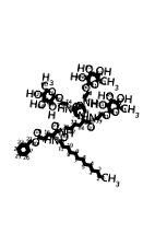 CCCCCCCCCCCCC(=O)NC(CCC(=O)OCc1ccccc1)C(=O)NCCCCC(C(=O)NCCO[C@@H]1O[C@@H](C)[C@@H](O)[C@@H](O)[C@@H]1O)N(CC(=O)NCCO[C@@H]1O[C@@H](C)[C@@H](O)[C@@H](O)[C@@H]1O)CC(=O)NCCO[C@@H]1O[C@@H](C)[C@@H](O)[C@@H](O)[C@@H]1O